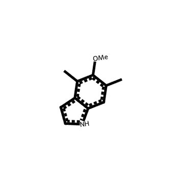 COc1c(C)cc2[nH]ccc2c1C